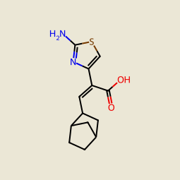 Nc1nc(C(=CC2CC3CCC2C3)C(=O)O)cs1